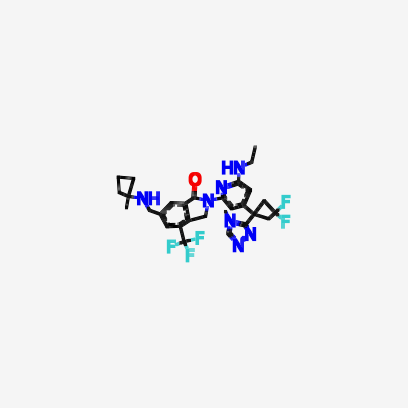 CCNc1cc(C2(c3nncn3C)CC(F)(F)C2)cc(N2Cc3c(cc(CNC4(C)CCC4)cc3C(F)(F)F)C2=O)n1